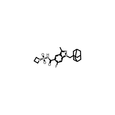 Cc1nn(CC23CC4CC(CC(C4)C2)C3)c2cc(F)c(C(=O)NS(=O)(=O)N3CCC3)cc12